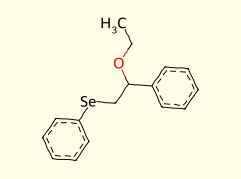 CCOC(C[Se]c1ccccc1)c1ccccc1